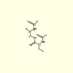 CCC(NC(C)=O)C(=O)OCC(C)NC(C)=O